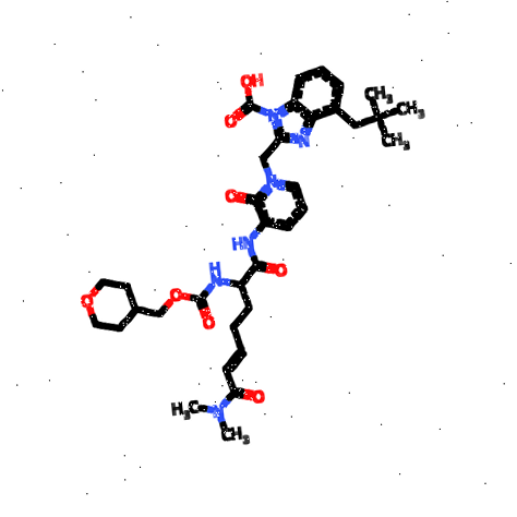 CN(C)C(=O)C=CCCC(NC(=O)OCC1CCOCC1)C(=O)Nc1cccn(Cc2nc3c(CC(C)(C)C)cccc3n2C(=O)O)c1=O